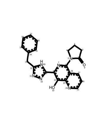 O=C1CCCN1c1nc(-c2nnc(Cc3ccccc3)[nH]2)c(O)c2ncccc12